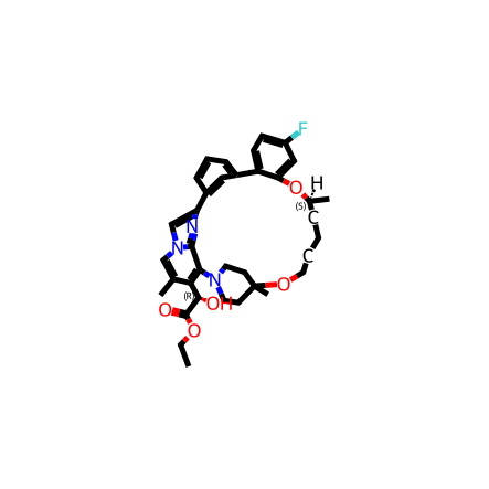 CCOC(=O)[C@H](O)c1c(C)cn2cc3nc2c1N1CCC(C)(CC1)OCCCC[C@H](C)Oc1cc(F)ccc1-c1cccc-3c1